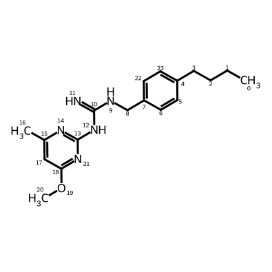 CCCCc1ccc(CNC(=N)Nc2nc(C)cc(OC)n2)cc1